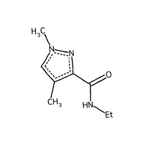 CCNC(=O)c1nn(C)cc1C